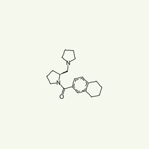 O=C(c1ccc2c(c1)CCCC2)N1CCC[C@H]1CN1CCCC1